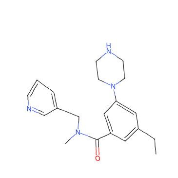 CCc1cc(C(=O)N(C)Cc2cccnc2)cc(N2CCNCC2)c1